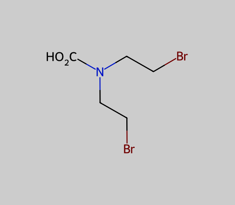 O=C(O)N(CCBr)CCBr